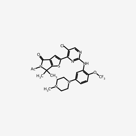 CC(=O)N1C(=O)c2cc(-c3nc(Nc4cc(N5CCN(C)CC5)ccc4OC(F)(F)F)ncc3Cl)sc2C1(C)C